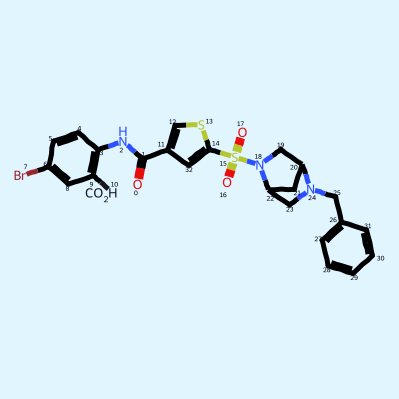 O=C(Nc1ccc(Br)cc1C(=O)O)c1csc(S(=O)(=O)N2CC3CC2CN3Cc2ccccc2)c1